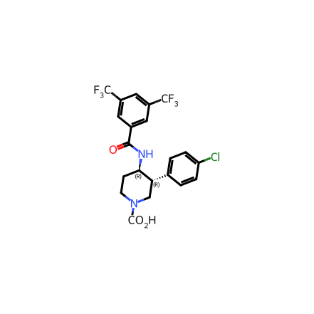 O=C(N[C@@H]1CCN(C(=O)O)C[C@H]1c1ccc(Cl)cc1)c1cc(C(F)(F)F)cc(C(F)(F)F)c1